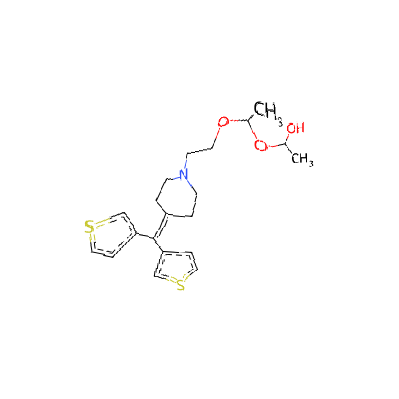 CC(O)OC(C)OCCN1CCC(=C(c2ccsc2)c2ccsc2)CC1